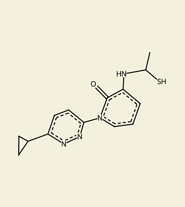 CC(S)Nc1cccn(-c2ccc(C3CC3)nn2)c1=O